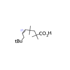 CC(C)(C)C/C=C\C(C)(C)CC(C)(C)C(=O)O